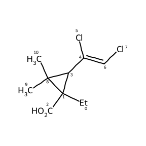 CCC1(C(=O)O)C(C(Cl)=CCl)C1(C)C